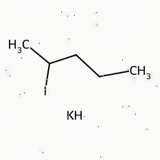 CCCC(C)I.[KH]